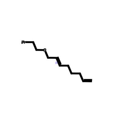 C=CCCC/C=C/COCCC(C)C